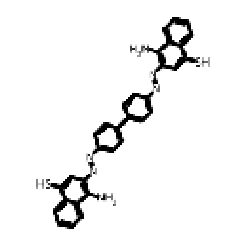 Nc1c(/N=N/c2ccc(-c3ccc(/N=N/c4cc(S)c5ccccc5c4N)cc3)cc2)cc(S)c2ccccc12